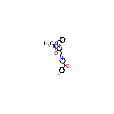 Cc1cn2c(=O)c(CCN3CCC(C(=O)c4ccc(F)cc4)CC3)cnc2n1Cc1ccccc1